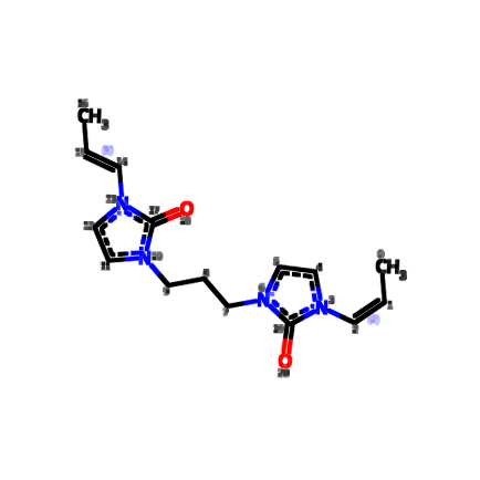 C/C=C\n1ccn(CCCn2ccn(/C=C/C)c2=O)c1=O